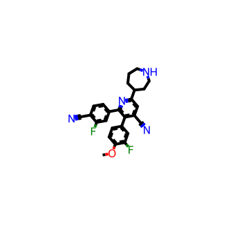 COc1ccc(-c2c(C#N)cc(C3CCCNCC3)nc2-c2ccc(C#N)c(F)c2)cc1F